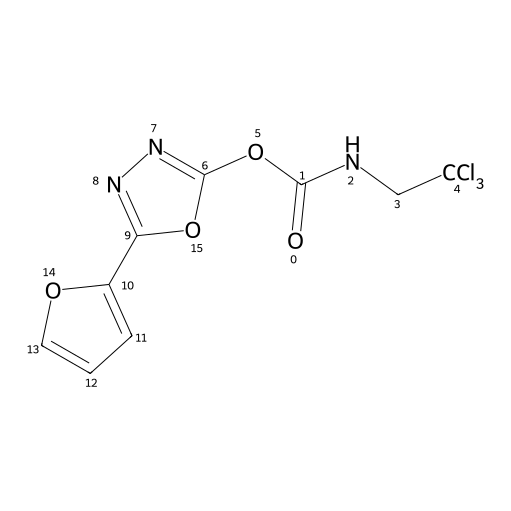 O=C(NCC(Cl)(Cl)Cl)Oc1nnc(-c2ccco2)o1